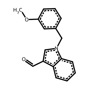 COc1cccc(Cn2cc(C=O)c3ccccc32)c1